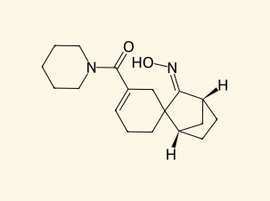 O=C(C1=CCCC2(C1)/C(=N\O)[C@@H]1CC[C@H]2C1)N1CCCCC1